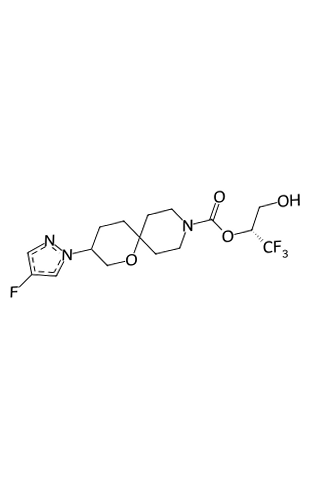 O=C(O[C@H](CO)C(F)(F)F)N1CCC2(CCC(n3cc(F)cn3)CO2)CC1